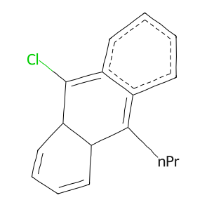 CCCC1=c2ccccc2=C(Cl)C2C=CC=CC12